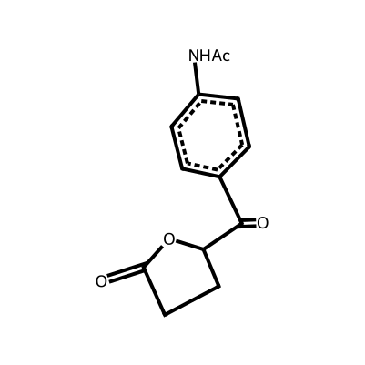 CC(=O)Nc1ccc(C(=O)C2CCC(=O)O2)cc1